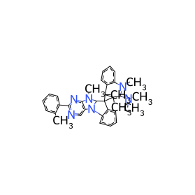 Cc1ccccc1-c1ncc2c(n1)N(C)C1N2c2ccccc2C12C1(C)c3ccccc3N(C)C(N(C)C)C12C